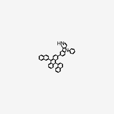 C1=Cc2c(c3cc(-c4ccc5c(-c6ccc7ccccc7c6)c6ccccc6c(-c6cccc7ccccc67)c5c4)ccc3n2-c2ccccc2)CN1